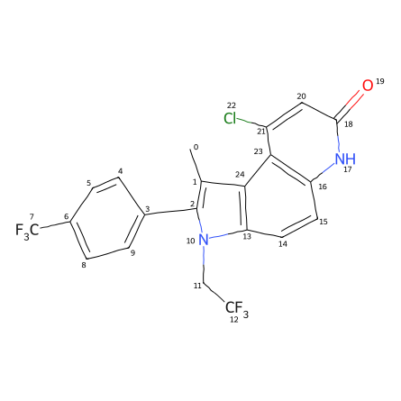 Cc1c(-c2ccc(C(F)(F)F)cc2)n(CC(F)(F)F)c2ccc3[nH]c(=O)cc(Cl)c3c12